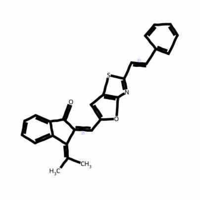 CC(C)=C1/C(=C/c2cc3sc(/C=C/c4ccccc4)nc3o2)C(=O)c2ccccc21